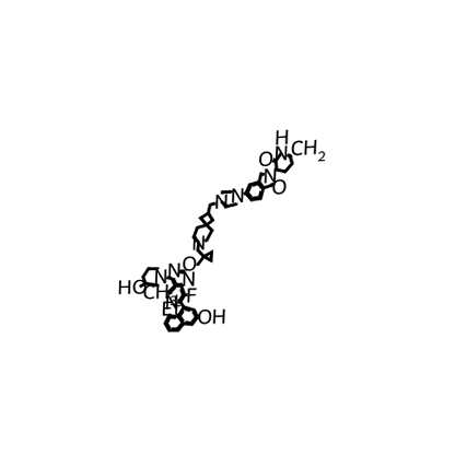 C=C1CC[C@H](N2Cc3cc(N4CCN(CC5CC6(CCN(CC7(COc8nc(N9CCC[C@@](C)(O)C9)c9cnc(-c%10cc(O)cc%11cccc(CC)c%10%11)c(F)c9n8)CC7)CC6)C5)CC4)ccc3C2=O)C(=O)N1